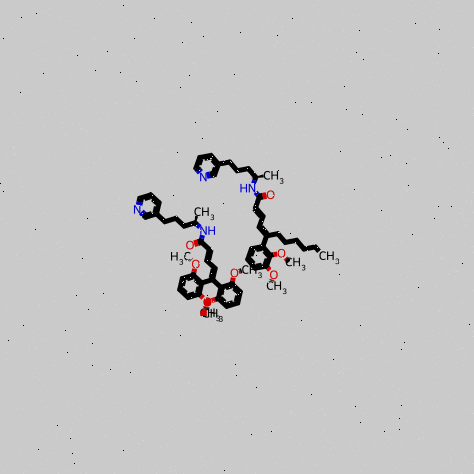 CCCCCC/C(=C\C=C\C(=O)N[C@H](C)CCCc1cccnc1)c1cccc(OC)c1OC.COc1cccc(OC)c1C(=C/C=C/C(=O)N[C@H](C)CCCc1cccnc1)c1c(OC)cccc1OC